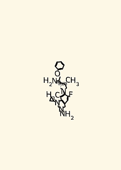 Cc1c(N2C[C@H]([C@@H](N)COc3ccccc3)[C@H](C)C2)c(F)cc2c1N(C1CC1)CN(N)C2